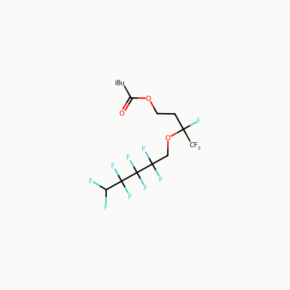 CCC(C)C(=O)OCCC(F)(OCC(F)(F)C(F)(F)C(F)(F)C(F)F)C(F)(F)F